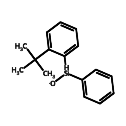 CC(C)(C)c1ccccc1[SiH]([O])c1ccccc1